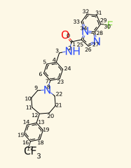 O=C(NCc1ccc(N2CCCC(c3ccc(C(F)(F)F)cc3)CCC2)cc1)c1cnc2c(F)cccn12